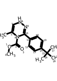 COC(=O)N1C(C)=CNN=C1c1ccc(C(C)(C)C)cc1